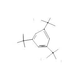 CC(C)(O)c1[c]c(C(C)(C)O)cc(C(C)(C)O)c1